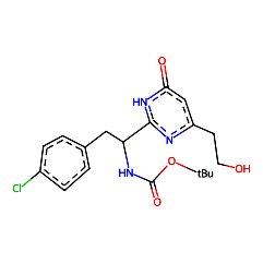 CC(C)(C)OC(=O)NC(Cc1ccc(Cl)cc1)c1nc(CCO)cc(=O)[nH]1